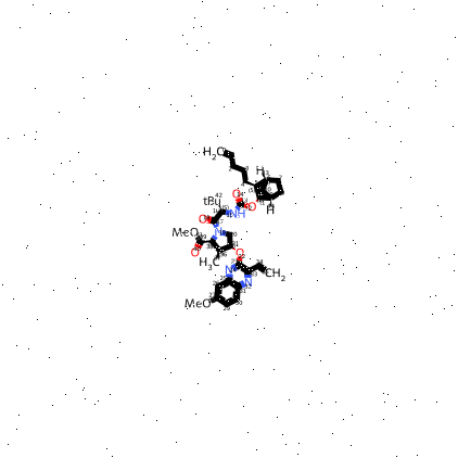 C=CCCC[C@H]1[C@H]2CC[C@H](C2)[C@@H]1OC(=O)N[C@H](C(=O)N1C[C@H](Oc2nc3cc(OC)ccc3nc2C=C)[C@@H](C)[C@H]1C(=O)OC)C(C)(C)C